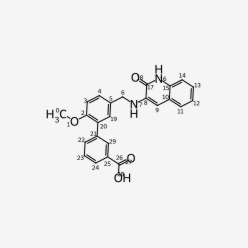 COc1ccc(CNc2cc3ccccc3[nH]c2=O)cc1-c1cccc(C(=O)O)c1